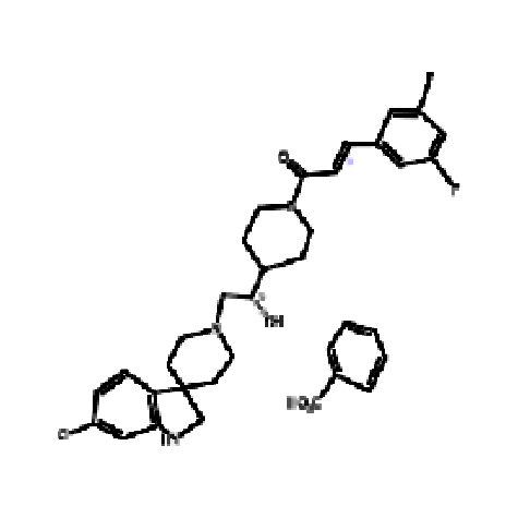 O=C(/C=C/c1cc(F)cc(F)c1)N1CCC([C@H](O)CN2CCC3(CC2)CNc2cc(Cl)ccc23)CC1.O=C(O)c1ccccc1